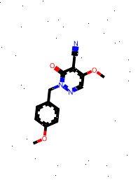 COc1ccc(Cn2ncc(OC)c(C#N)c2=O)cc1